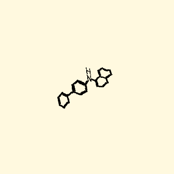 c1ccc(-c2ccc(Nc3cccc4ccccc34)cc2)cc1